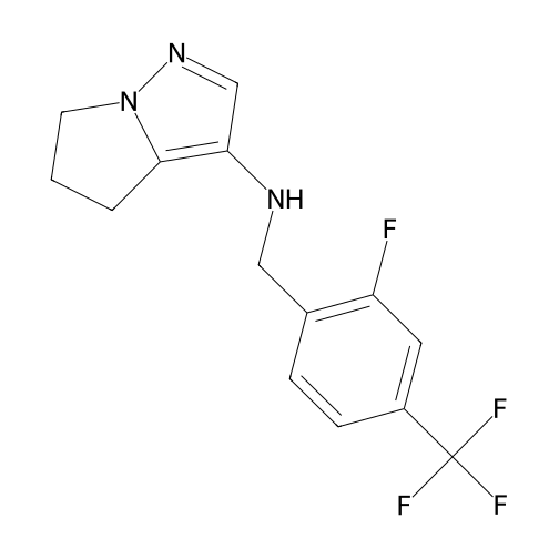 Fc1cc(C(F)(F)F)ccc1CNc1cnn2c1CCC2